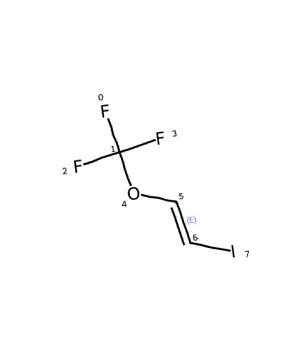 FC(F)(F)O/C=C/I